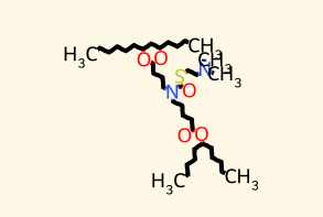 CCCCCCC(CCCCCC)OC(=O)CCCN(CCCCC(=O)OC(CCCCC)CCCCC)C(=O)SCCN(C)C